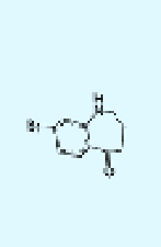 O=C1CCCNc2cc(Br)ccc21